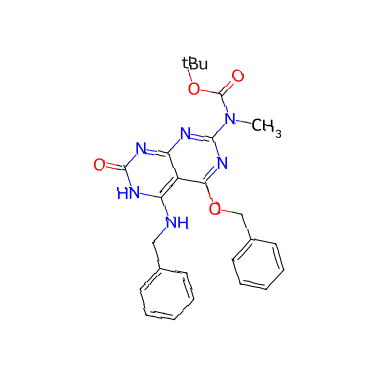 CN(C(=O)OC(C)(C)C)c1nc(OCc2ccccc2)c2c(NCc3ccccc3)[nH]c(=O)nc2n1